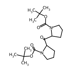 CC(C)(C)OC(=O)N1CCCC1C(=O)C1CCCN1C(=O)OC(C)(C)C